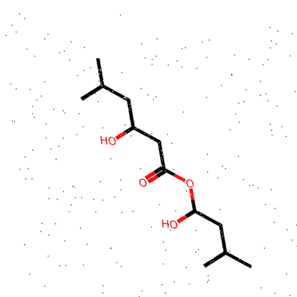 CC(C)CC(O)CC(=O)OC(O)CC(C)C